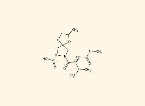 COC(=O)N[C@H](C(=O)N1CC2(C[C@H]1C(=O)O)OCC(C)O2)C(C)C